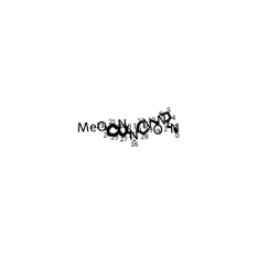 C=NC[C@@H]1CCCN1C(=O)CN1CCC(N(C)c2cnc3cc(OC)ccc3c2)CC1